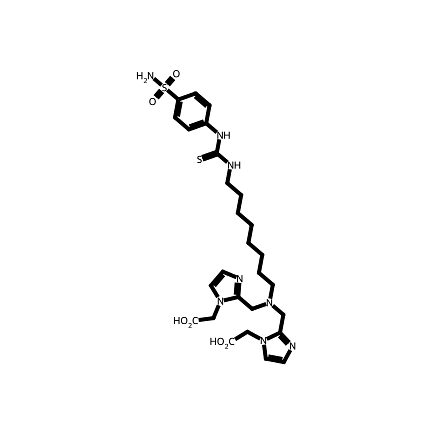 NS(=O)(=O)c1ccc(NC(=S)NCCCCCCCCN(Cc2nccn2CC(=O)O)Cc2nccn2CC(=O)O)cc1